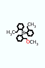 CCc1cccc[c]1[Bi]([c]1ccccc1CC)[c]1ccccc1COC